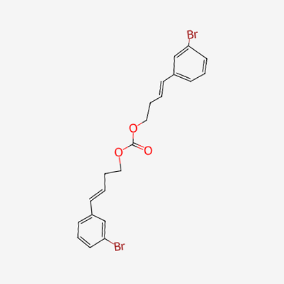 O=C(OCCC=Cc1cccc(Br)c1)OCCC=Cc1cccc(Br)c1